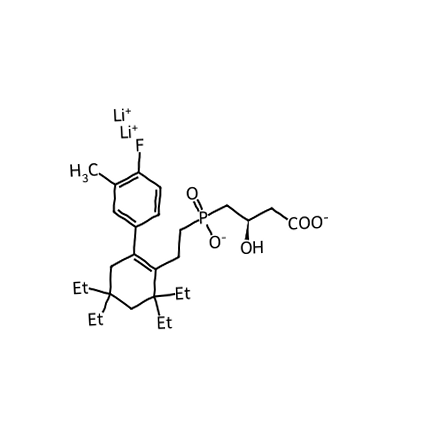 CCC1(CC)CC(c2ccc(F)c(C)c2)=C(CCP(=O)([O-])C[C@H](O)CC(=O)[O-])C(CC)(CC)C1.[Li+].[Li+]